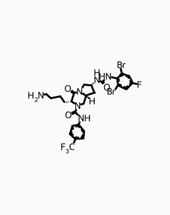 NCCCC[C@@H]1C(=O)N2C[C@H](NC(=O)Nc3c(Br)cc(F)cc3Br)C[C@@H]2CN1C(=O)Nc1ccc(C(F)(F)F)cc1